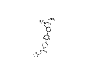 CN(Cc1cccc(-c2cnc(N3CCN(C(=O)OCC4CCCO4)CC3)nc2)c1)C(=O)CN